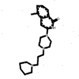 Cc1cccc2c(=O)[nH]c(N3CCN(CCCN4CCCCC4)CC3)cc12